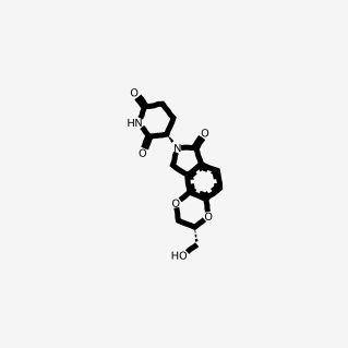 O=C1CC[C@H](N2Cc3c(ccc4c3OC[C@@H](CO)O4)C2=O)C(=O)N1